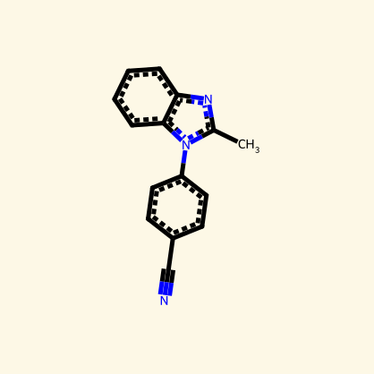 Cc1nc2ccccc2n1-c1ccc(C#N)cc1